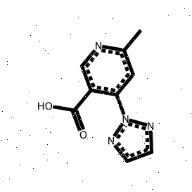 Cc1cc(-n2nccn2)c(C(=O)O)cn1